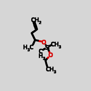 C=CCC(C)O[Si](C)(C)OCC